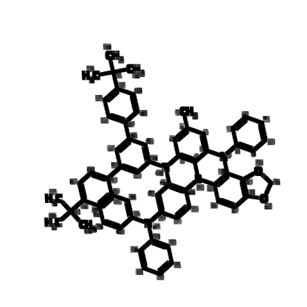 Cc1cc2c3c(c1)N(c1ccccc1)c1c(ccc4c1OCO4)B3c1ccc(N(c3ccccc3)c3ccccc3)cc1N2c1cc(-c2ccc(C(C)(C)C)cc2)cc(-c2ccc(C(C)(C)C)cc2)c1